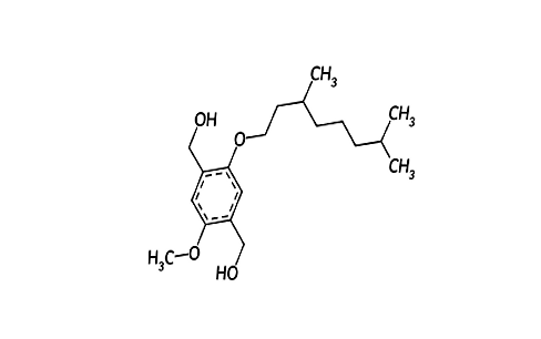 COc1cc(CO)c(OCCC(C)CCCC(C)C)cc1CO